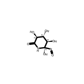 O=N[C@@]1(O)NC(=O)[C@@H](O)[C@H](O)[C@H]1O